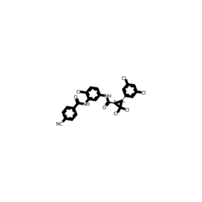 N#Cc1ccc(C(=O)Nc2cc(NC(=O)[C@H]3[C@H](c4cc(Cl)cc(Cl)c4)C3(Cl)Cl)ccc2Cl)cc1